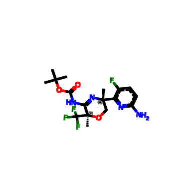 CC(C)(C)OC(=O)NC1=N[C@](C)(c2nc(N)ccc2F)CO[C@@]1(C)C(F)(F)F